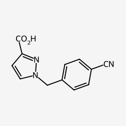 N#Cc1ccc(Cn2ccc(C(=O)O)n2)cc1